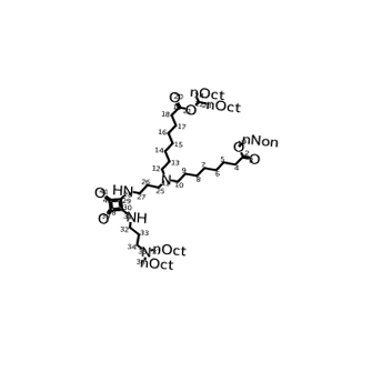 CCCCCCCCCOC(=O)CCCCCCCN(CCCCCCCC(=O)OC(CCCCCCCC)CCCCCCCC)CCCNc1c(NCCCN(CCCCCCCC)CCCCCCCC)c(=O)c1=O